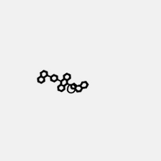 c1ccc2c(-c3ccc(-c4c5ccccc5c(-c5cc6c(ccc7ccccc76)o5)c5ccccc45)cc3)cccc2c1